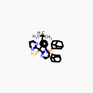 CC(C)(C)[C]12[CH]3[C]4(CP(C5C6CC7CC(C6)CC5C7)C5C6CC7CC(C6)CC5C7)[C]5(C(P)(c6ncccn6)c6ncccn6)[CH]1[Fe]34251678[CH]2[CH]1[CH]6[CH]7[CH]28